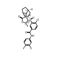 C[C@@H]1CN([C@H]2C3CC[C@H]2C[C@H](S(=O)(=O)c2cc(C(=O)Nc4ccc(F)c(F)c4)ccc2Cl)C3)C(=O)O1